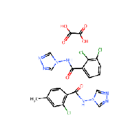 Cc1ccc(C(=O)Nn2cnnc2)c(Cl)c1.O=C(Nn1cnnc1)c1cccc(Cl)c1Cl.O=C(O)C(=O)O